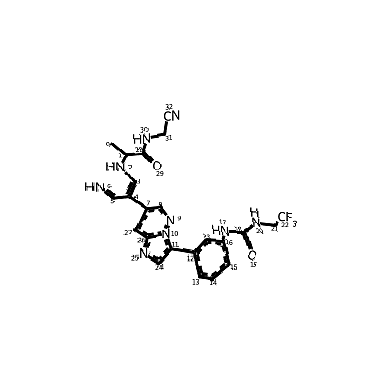 CC(N/C=C(\C=N)c1cnn2c(-c3cccc(NC(=O)NCC(F)(F)F)c3)cnc2c1)C(=O)NCC#N